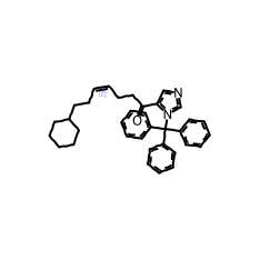 O=C(CC/C=C\CCC1CCCCC1)c1cncn1C(c1ccccc1)(c1ccccc1)c1ccccc1